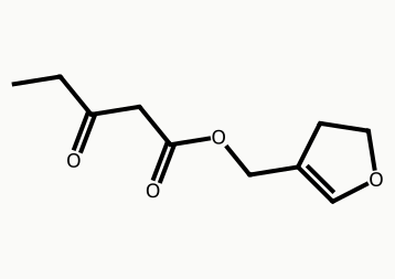 CCC(=O)CC(=O)OCC1=COCC1